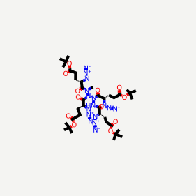 CN(C(=O)[C@H](CCC(=O)OC(C)(C)C)N=[N+]=[N-])N(C(=O)[C@H](CCC(=O)OC(C)(C)C)N=[N+]=[N-])N(NC(=O)[C@H](CCC(=O)OC(C)(C)C)N=[N+]=[N-])C(=O)[C@H](CCC(=O)OC(C)(C)C)N=[N+]=[N-]